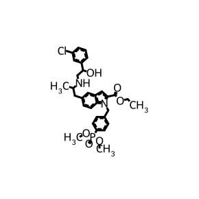 CCOC(=O)c1cc2cc(CC(C)NCC(O)c3cccc(Cl)c3)ccc2n1Cc1ccc(P(=O)(OC)OC)cc1